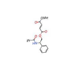 COC(=O)/C=C/C(=O)OC[C@H](NC(=O)C(C)C)c1ccccc1